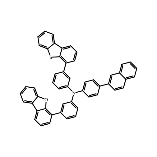 c1cc(-c2cccc3c2oc2ccccc23)cc(N(c2ccc(-c3ccc4ccccc4c3)cc2)c2cccc(-c3cccc4c3sc3ccccc34)c2)c1